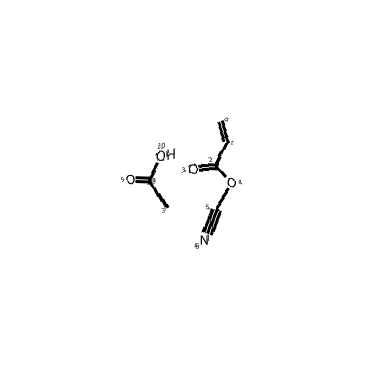 C=CC(=O)OC#N.CC(=O)O